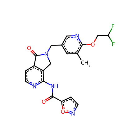 Cc1cc(CN2Cc3c(ccnc3NC(=O)c3ccno3)C2=O)cnc1OCC(F)F